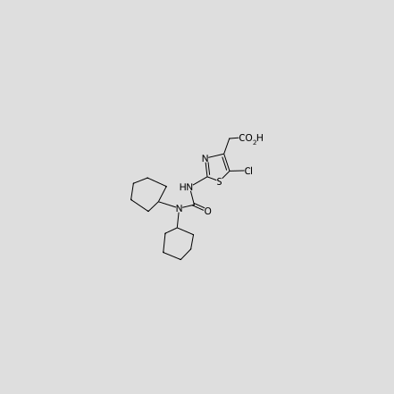 O=C(O)Cc1nc(NC(=O)N(C2CCCCC2)C2CCCCC2)sc1Cl